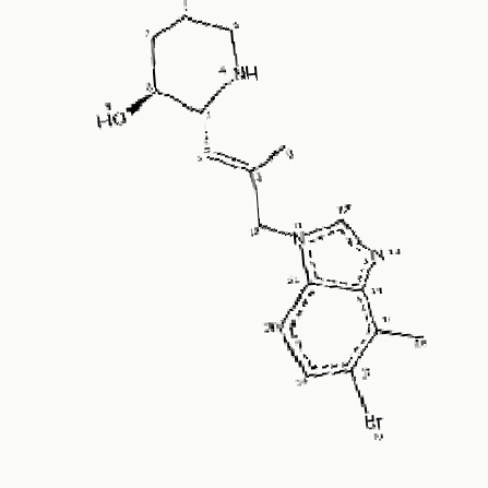 C/C(=C\[C@H]1NCCC[C@@H]1O)Cn1cnc2c(C)c(Br)ccc21